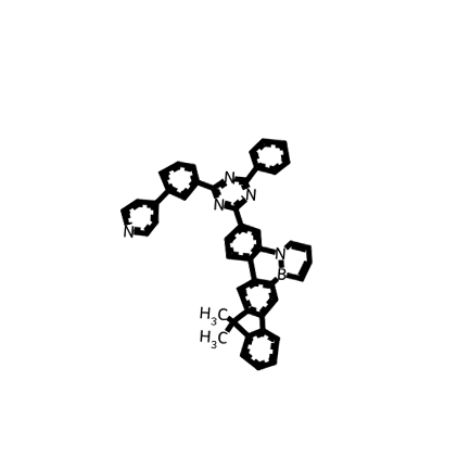 CC1(C)c2ccccc2-c2cc3c(cc21)-c1ccc(-c2nc(-c4ccccc4)nc(-c4cccc(-c5ccncc5)c4)n2)cc1N1C=CC=CB31